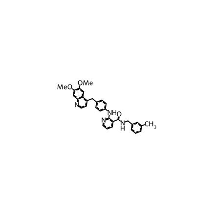 COc1cc2nccc(Cc3ccc(Nc4ncccc4C(=O)NCc4cccc(C)c4)cc3)c2cc1OC